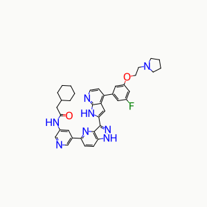 O=C(CC1CCCCC1)Nc1cncc(-c2ccc3[nH]nc(-c4cc5c(-c6cc(F)cc(OCCN7CCCC7)c6)ccnc5[nH]4)c3n2)c1